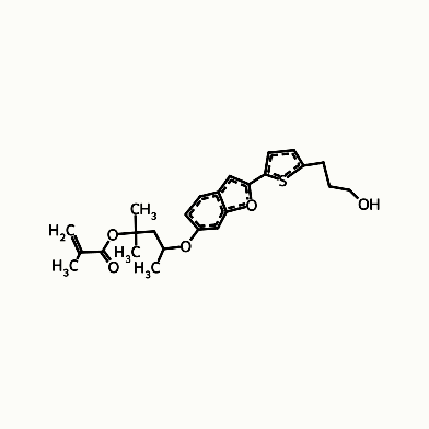 C=C(C)C(=O)OC(C)(C)CC(C)Oc1ccc2cc(-c3ccc(CCCO)s3)oc2c1